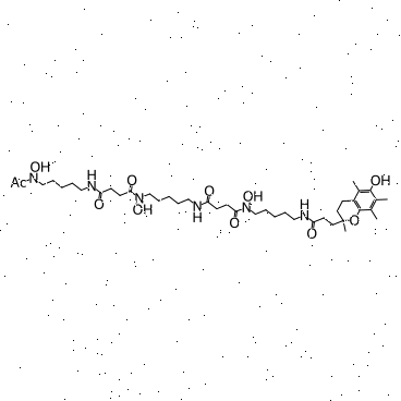 CC(=O)N(O)CCCCCNC(=O)CCC(=O)N(O)CCCCCNC(=O)CCC(=O)N(O)CCCCCNC(=O)CCC1(C)CCc2c(C)c(O)c(C)c(C)c2O1